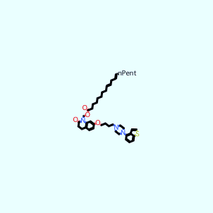 CCCCCC=CCC=CCCCCCCCC(=O)OCN1C(=O)CCc2ccc(OCCCCN3CCN(c4cccc5sccc45)CC3)cc21